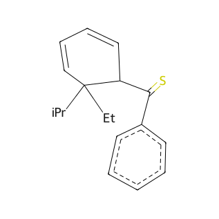 CCC1(C(C)C)C=CC=CC1C(=S)c1ccccc1